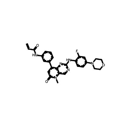 C=CC(=O)Nc1cccc(-c2cc(=O)n(C)c3cnc(Nc4ccc(N5CCOCC5)cc4F)nc23)c1